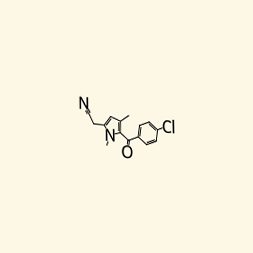 Cc1cc(CC#N)n(C)c1C(=O)c1ccc(Cl)cc1